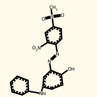 CS(=O)(=O)c1ccc(N=Nc2cc(Nc3ccccc3)ccc2O)c([N+](=O)[O-])c1